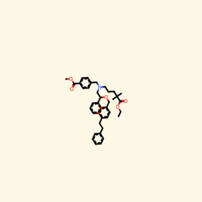 CCOC(=O)C(C)(C)CCCN(Cc1ccc(C(=O)OC)cc1)CC(OCc1ccc(CCc2ccccc2)cc1)c1ccccc1